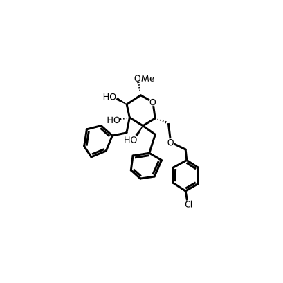 CO[C@@H]1O[C@H](COCc2ccc(Cl)cc2)[C@](O)(Cc2ccccc2)[C@@](O)(Cc2ccccc2)[C@H]1O